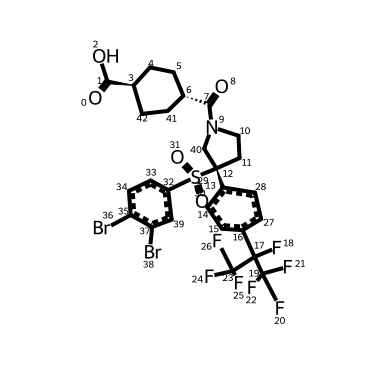 O=C(O)[C@H]1CC[C@H](C(=O)N2CC[C@](c3ccc(C(F)(C(F)(F)F)C(F)(F)F)cc3)(S(=O)(=O)c3ccc(Br)c(Br)c3)C2)CC1